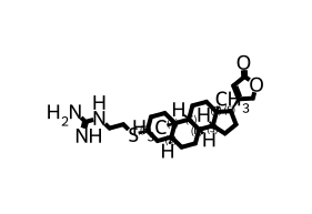 C[C@]12CC[C@H](SCCNC(=N)N)C[C@@H]1CC[C@@H]1[C@@H]2CC[C@]2(C)[C@@H](C3=CC(=O)OC3)CC[C@@H]12